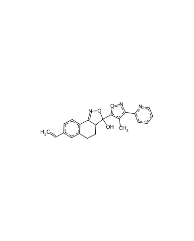 C=Cc1ccc2c(c1)CCC1C2=NOC1(O)c1onc(-c2ccccn2)c1C